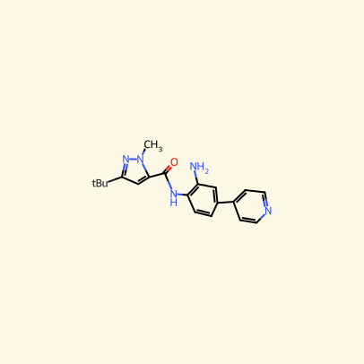 Cn1nc(C(C)(C)C)cc1C(=O)Nc1ccc(-c2ccncc2)cc1N